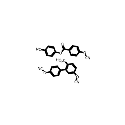 N#COc1ccc(-c2cc(OC#N)ccc2C(=O)O)cc1.N#COc1ccc(C(=O)Oc2ccc(C#N)cc2)cc1